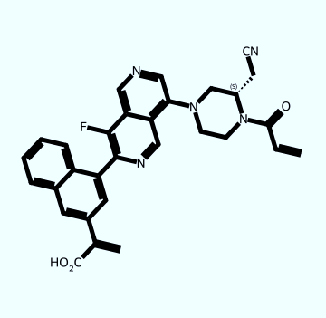 C=CC(=O)N1CCN(c2cncc3c(F)c(-c4cc(C(=C)C(=O)O)cc5ccccc45)ncc23)C[C@@H]1CC#N